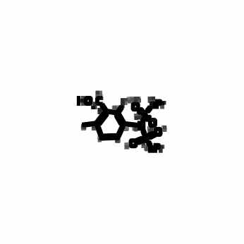 CCCS(=O)(=O)N(c1ccc(C)c(C(=O)O)c1F)S(=O)(=O)CCC